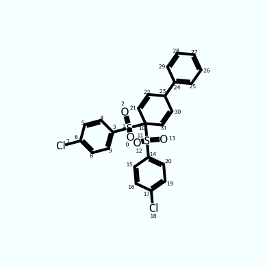 O=S(=O)(c1ccc(Cl)cc1)C1(S(=O)(=O)c2ccc(Cl)cc2)C=CC(c2ccccc2)C=C1